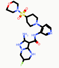 NC1NN2CC(F)CNC2C1C(=O)Nc1cnccc1N1CCC(S(=O)(=O)N2CCOCC2)CC1